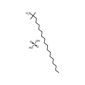 CCCCCCCCCCCCCCCCCC(C)(C)N.O=S(=O)(O)O